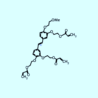 C=CC(=O)OCCOc1cc(/C=C/c2ccc(OCCOC(=O)C=C)c(OCCOC(=O)C=C)c2)ccc1OCCOC